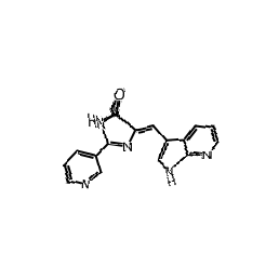 O=C1NC(c2cccnc2)=N/C1=C\c1c[nH]c2ncccc12